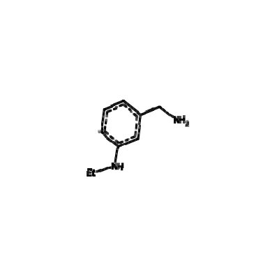 CCNc1[c]ccc(CN)c1